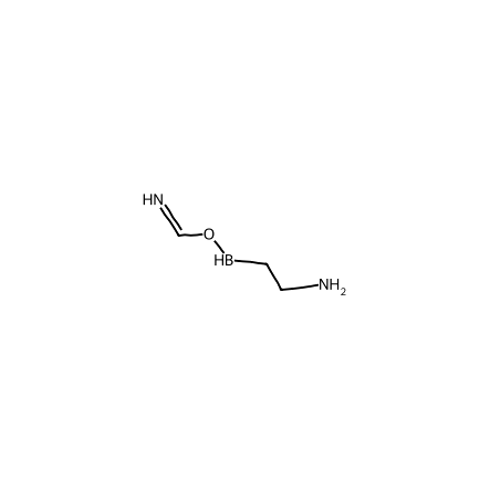 N=COBCCN